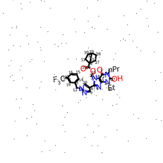 CCCN1C(=O)c2c(nc(-c3cnn(Cc4cccc(C(F)(F)F)c4)c3)n2COC(=O)C23CCC(CC2)CC3)N(CC)C1O